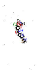 CCN(CC)S(=O)(=O)c1cc(NC(=O)c2ccc3cc(-c4nccs4)cnc3c2)ccc1Cl